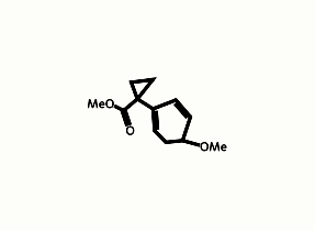 COC(=O)C1(C2=CCC(OC)C=C2)CC1